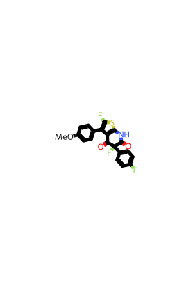 COc1ccc(-c2c(F)sc3c2C(=O)C(F)(c2ccc(F)cc2)C(=O)N3)cc1